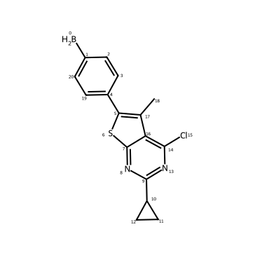 Bc1ccc(-c2sc3nc(C4CC4)nc(Cl)c3c2C)cc1